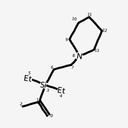 C=C(C)[Si](CC)(CC)CCN1CCCCC1